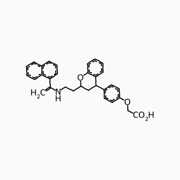 C=C(NCCC1CC(c2ccc(OCC(=O)O)cc2)c2ccccc2O1)c1cccc2ccccc12